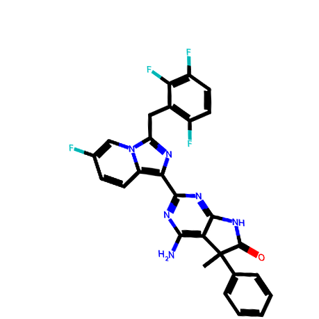 CC1(c2ccccc2)C(=O)Nc2nc(-c3nc(Cc4c(F)ccc(F)c4F)n4cc(F)ccc34)nc(N)c21